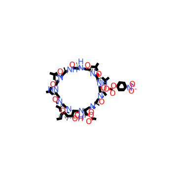 C/C=C/C[C@@H](C)[C@@H](O)[C@H]1C(=O)N[C@@H]([C@@H](C)OC(C)=O)C(=O)N(C)[C@H](C)C(=O)N(C)[C@@H](C(C)OC(=O)Oc2ccc([N+](=O)[O-])cc2)C(=O)N[C@@H](CC(C)C)C(=O)N(C)[C@@H](CC(C)C)C(=O)N[C@@H](C)C(=O)N[C@H](C)C(=O)N(C)[C@@H](CC(C)C)C(=O)N[C@@H](CC(C)C)C(=O)N(C)[C@@H](C(C)C)C(=O)N1C